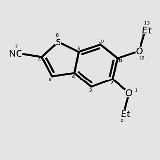 CCOc1cc2cc(C#N)sc2cc1OCC